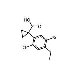 CCc1cc(Cl)c(C2(C(=O)O)CC2)cc1Br